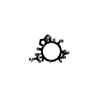 CC(C)C1CCN2C(=O)[C@@H](NC(=O)C(F)(F)F)C(C)(C)COC[C@@H]3C[C@@H](CC(C#N)NC(=O)[C@H]12)C(=O)N3